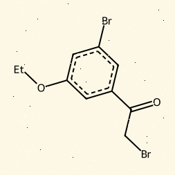 CCOc1cc(Br)cc(C(=O)CBr)c1